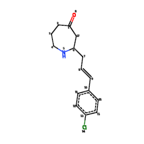 O=C1CCCNC(CC=Cc2ccc(Cl)cc2)C1